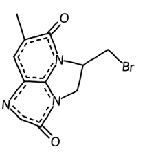 Cc1cc2ncc(=O)n3c2n(c1=O)C(CBr)C3